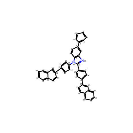 c1ccc(-c2ccc3c(c2)nc(-c2ccc(-c4ccc5ccccc5c4)cc2)n3-c2ccc(-c3ccc4ccccc4c3)cc2)cc1